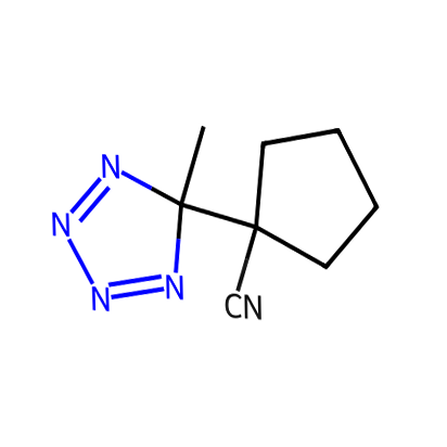 CC1(C2(C#N)CCCC2)N=NN=N1